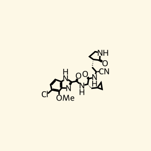 COc1c(Cl)ccc2[nH]c(C(=O)N[C@@H](CC3CC3)C(=O)N[C@H](C#N)C[C@@H]3CCNC3=O)nc12